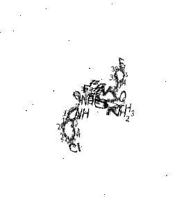 C[C@]1(C(N)=O)COc2c1cc([C@@](O)(CNC(=O)c1cc3ccc(Cl)cc3[nH]1)C(F)(F)F)nc2-c1ccc(F)cc1